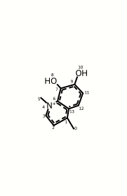 Cc1cc[n+](C)c2c(O)c(O)ccc12